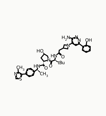 Cc1ncsc1-c1ccc([C@H](C)NC(=O)[C@@H]2C[C@@H](O)CN2C(=O)[C@@H](NC(=O)CC2CN(c3cc(-c4ccccc4O)nnc3N)C2)C(C)(C)C)cc1